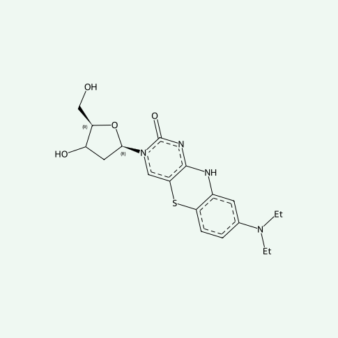 CCN(CC)c1ccc2c(c1)Nc1nc(=O)n([C@H]3CC(O)[C@@H](CO)O3)cc1S2